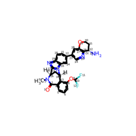 CN1C(=O)c2cccc(OC(F)F)c2[C@H]2C[C@@H]1c1nc3ccc(-c4cnc5c(c4)OCC[C@@H]5N)cc3n12